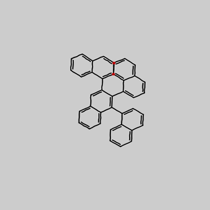 c1ccc2c(-c3cc4ccccc4c(-c4cccc5ccccc45)c3-c3cccc4ccccc34)cccc2c1